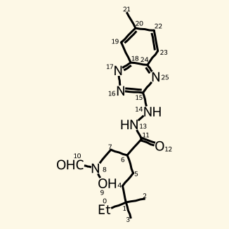 CCC(C)(C)CCC(CN(O)C=O)C(=O)NNc1nnc2cc(C)ccc2n1